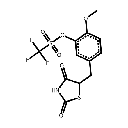 COc1ccc(CC2SC(=O)NC2=O)cc1OS(=O)(=O)C(F)(F)F